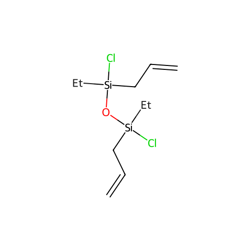 C=CC[Si](Cl)(CC)O[Si](Cl)(CC)CC=C